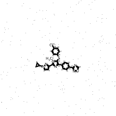 Cn1c(-c2ccn(C3CC3)n2)nc(-c2ccc(-c3ncon3)cc2)c1Sc1ccc(Cl)cc1